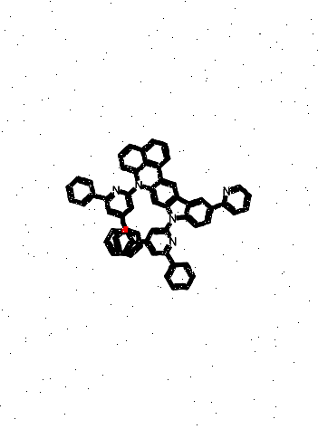 c1ccc(-c2cc(-c3ccccc3)nc(N3c4cc5c(cc4-c4cccc6cccc3c46)c3cc(-c4ccccn4)ccc3n5-c3cc(-c4ccccc4)cc(-c4ccccc4)n3)c2)cc1